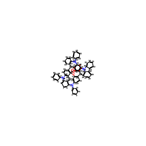 c1ccc(N2c3cccc4c3B(c3c2ccc2c3Oc3cccc5c3B2c2cccc3c6ccccc6n-5c23)c2c(ccc3c2Oc2cccc5c2B3c2cccc3c6ccccc6n-5c23)N4c2ccccc2)cc1